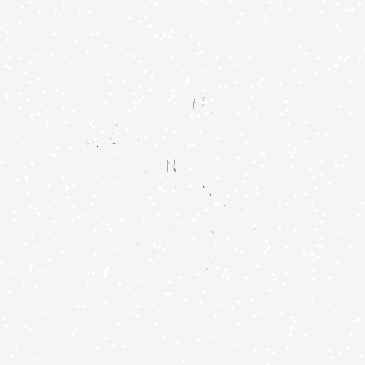 C[C@@H]1CN(c2cc(C(=O)O)c3c(n2)COCCC3)C[C@H](C)O1